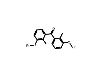 Cc1c(OC(C)C)cccc1C(=O)c1cccc(OC(C)C)c1C